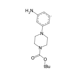 CC(C)(C)OC(=O)N1CCN(c2c[c]cc(N)c2)CC1